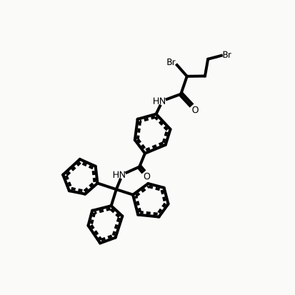 O=C(NC(c1ccccc1)(c1ccccc1)c1ccccc1)c1ccc(NC(=O)C(Br)CCBr)cc1